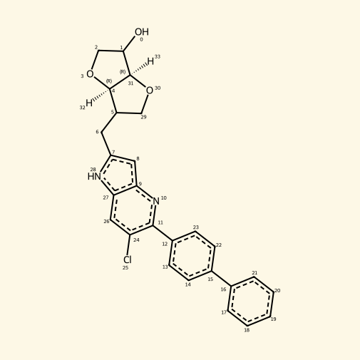 OC1CO[C@@H]2C(Cc3cc4nc(-c5ccc(-c6ccccc6)cc5)c(Cl)cc4[nH]3)CO[C@H]12